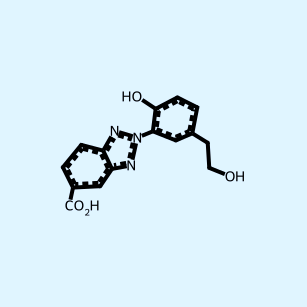 O=C(O)c1ccc2nn(-c3cc(CCO)ccc3O)nc2c1